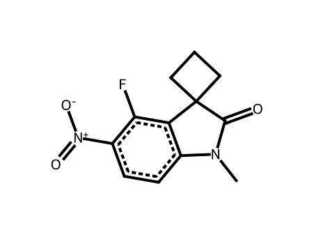 CN1C(=O)C2(CCC2)c2c1ccc([N+](=O)[O-])c2F